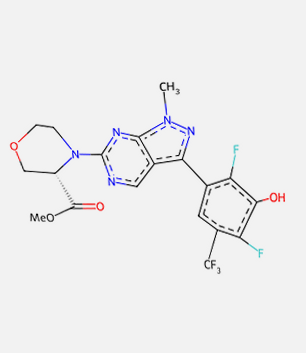 COC(=O)[C@@H]1COCCN1c1ncc2c(-c3cc(C(F)(F)F)c(F)c(O)c3F)nn(C)c2n1